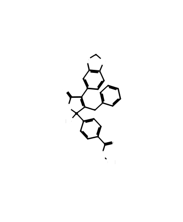 COC(=O)c1ccc(C2(O)OC(=O)C(c3ccc4c(c3)OCO4)=C2Cc2ccccc2)cc1